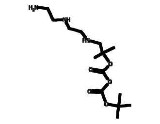 CC(C)(C)OC(=O)OC(=O)OC(C)(C)CNCCNCCN